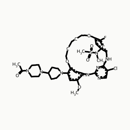 COc1cc(N2CCC(N3CCN(C(C)=O)CC3)CC2)c2cc1Nc1ncc(Cl)c(n1)Nc1cc(F)c(cc1N(C)S(C)(=O)=O)OCCCCCO2